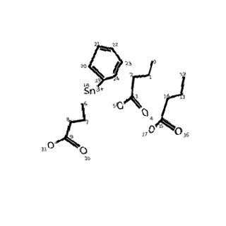 CCCC(=O)[O-].CCCC(=O)[O-].CCCC(=O)[O-].[Sn+3][c]1ccccc1